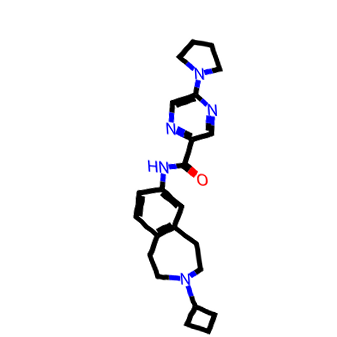 O=C(Nc1ccc2c(c1)CCN(C1CCC1)CC2)c1cnc(N2CCCC2)cn1